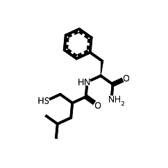 CC(C)CC(CS)C(=O)N[C@@H](Cc1ccccc1)C(N)=O